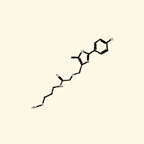 CCCCSCCCNC(=O)CSCc1nc(-c2ccc(Cl)cc2)oc1C